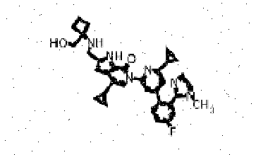 Cn1ccnc1-c1cc(F)ccc1-c1cc(C2CC2)nc(-n2cc(C3CC3)c3cc(CNC4(CO)CCC4)[nH]c3c2=O)c1